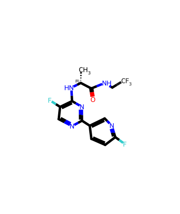 C[C@@H](Nc1nc(-c2ccc(F)nc2)ncc1F)C(=O)NCC(F)(F)F